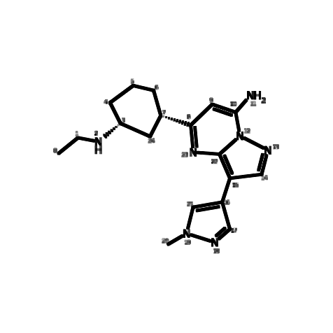 CCN[C@@H]1CCC[C@H](c2cc(N)n3ncc(-c4cnn(C)c4)c3n2)C1